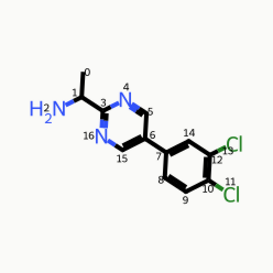 CC(N)c1ncc(-c2ccc(Cl)c(Cl)c2)cn1